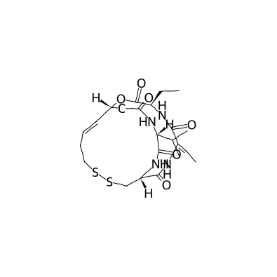 C/C=C1\NC(=O)[C@@H]2CSSCC/C=C/[C@@H](CC(=O)N[C@H](C(C)C)C(=O)N2)OC(=O)[C@@H](CC)NC1=O